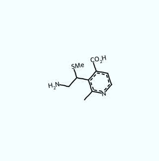 CSC(CN)c1c(C(=O)O)ccnc1C